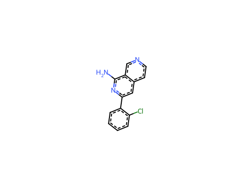 Nc1nc(-c2ccccc2Cl)cc2ccncc12